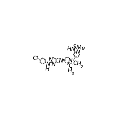 C=C(c1ccnc(NSC)c1)N1CC[C@H](N2Cc3cnc(Nc4ccc(Cl)cc4)nc3C2)C[C@H]1C